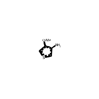 COc1cscc1N